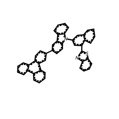 c1ccc2c(-c3nc4ccccc4s3)cc(-n3c4ccccc4c4cc(-c5ccc6c7ccccc7c7ccccc7c6c5)ccc43)cc2c1